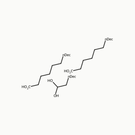 CCCCCCCCCCCC(O)O.CCCCCCCCCCCCCCCC(=O)O.CCCCCCCCCCCCCCCC(=O)O